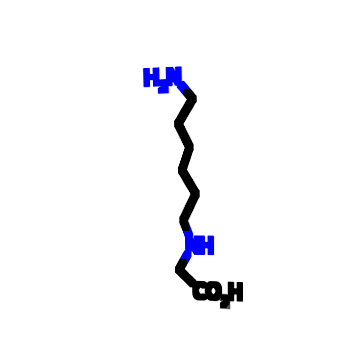 NCCCCCCNCC(=O)O